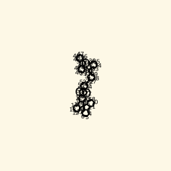 C1=CC2c3ccccc3C3(c4ccccc4-c4cc5c(cc43)Oc3cc(-c4cccc(N(c6ccccc6)c6cccc7c6oc6ccccc67)c4)ccc3O5)C2C=C1